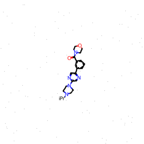 CC(C)N1CCN(c2cnc(-c3cccc(C(=O)N4CCOCC4)c3)cn2)CC1